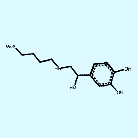 CSCCCCNCC(O)c1ccc(O)c(O)c1